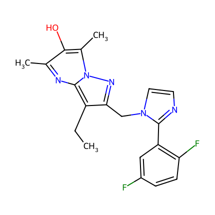 CCc1c(Cn2ccnc2-c2cc(F)ccc2F)nn2c(C)c(O)c(C)nc12